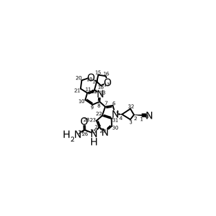 N#C[C@H]1C[C@@H](n2cc(-c3ccc4c(n3)C3(CCOC3)OCC4)c3cc(NC(N)=O)ncc32)C1